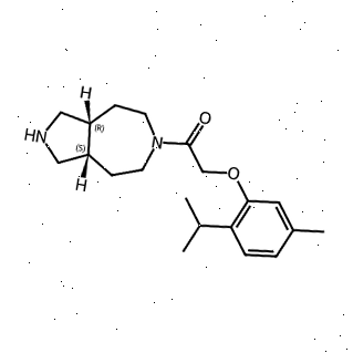 Cc1ccc(C(C)C)c(OCC(=O)N2CC[C@@H]3CNC[C@@H]3CC2)c1